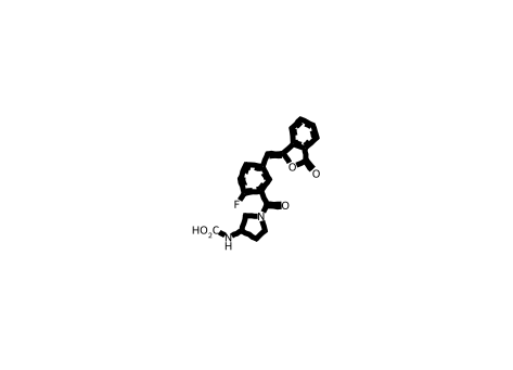 O=C(O)NC1CCN(C(=O)c2cc(C=C3OC(=O)c4ccccc43)ccc2F)C1